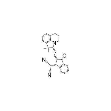 CC1(C)/C(=C\C=C2/C(=O)c3ccccc3C2=C(C#N)C#N)N2CCCc3cccc1c32